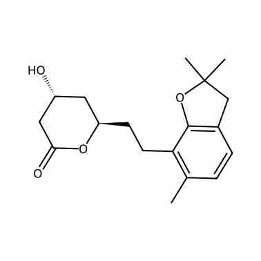 Cc1ccc2c(c1CC[C@@H]1C[C@@H](O)CC(=O)O1)OC(C)(C)C2